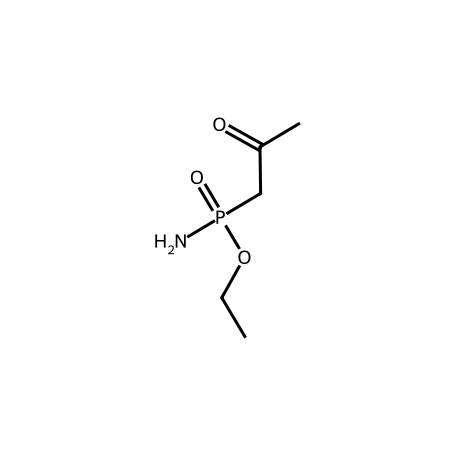 CCOP(N)(=O)CC(C)=O